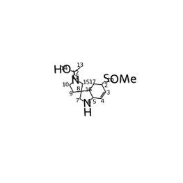 COSC1C=CC2NCC3(CCN(C(C)O)C3)C2C1